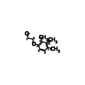 Cc1ccc(OCC[O])c(C)c1C